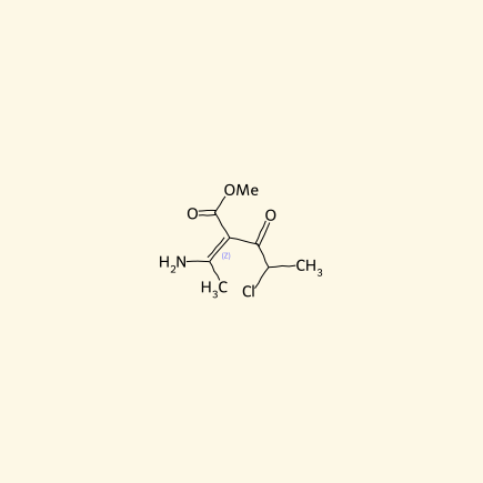 COC(=O)/C(C(=O)C(C)Cl)=C(/C)N